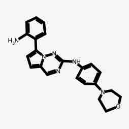 Nc1ccccc1-c1ccc2cnc(Nc3ccc(N4CCOCC4)cc3)nn12